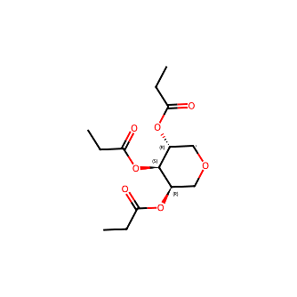 CCC(=O)O[C@H]1[C@H](OC(=O)CC)[CH]OC[C@H]1OC(=O)CC